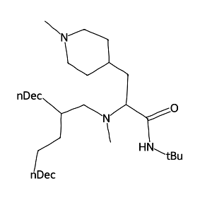 CCCCCCCCCCCCC(CCCCCCCCCC)CN(C)C(CC1CCN(C)CC1)C(=O)NC(C)(C)C